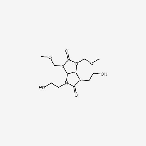 COCN1C(=O)N(COC)C2C1N(CCO)C(=O)N2CCO